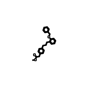 COC(=O)Cc1ccc(CCCc2ccccc2OCc2ccccc2)cc1